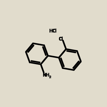 Cl.Nc1ccccc1-c1ccccc1Cl